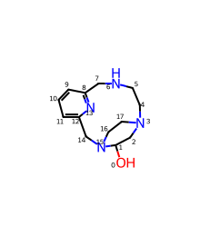 OC1CN2CCNCc3cccc(n3)CN1CC2